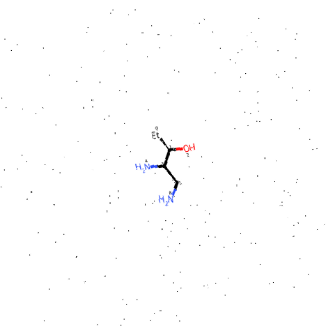 CC[C@@H](O)C(N)CN